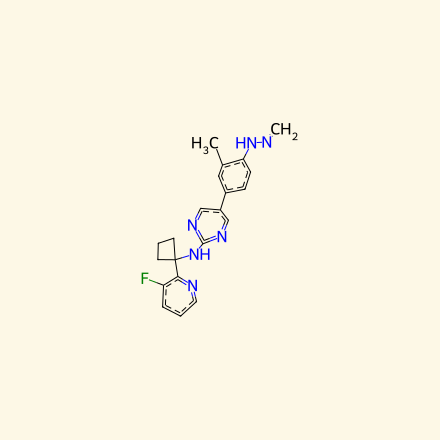 C=NNc1ccc(-c2cnc(NC3(c4ncccc4F)CCC3)nc2)cc1C